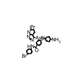 CC(C)c1ccc2c([AsH]c3cc(C(=O)Nc4ccc(Br)cc4)ccc3Sc3ccc(N)cc3)ncnc2n1